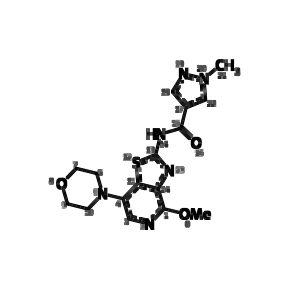 COc1ncc(N2CCOCC2)c2sc(NC(=O)c3cnn(C)c3)nc12